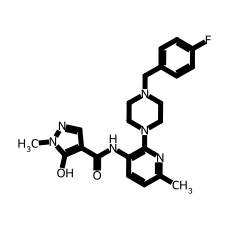 Cc1ccc(NC(=O)c2cnn(C)c2O)c(N2CCN(Cc3ccc(F)cc3)CC2)n1